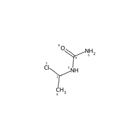 C[C](Cl)NC(N)=O